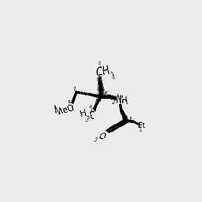 CCC(=O)NC(C)(C)COC